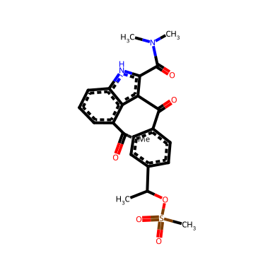 COC(=O)c1cccc2[nH]c(C(=O)N(C)C)c(C(=O)c3ccc(C(C)OS(C)(=O)=O)cc3)c12